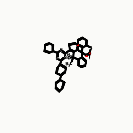 CC1(C)c2ccccc2C2(c3ccccc3Sc3ccccc32)c2cccc(-c3nc(-c4ccccc4)nc(-c4ccc(-c5ccccc5)cc4)n3)c21